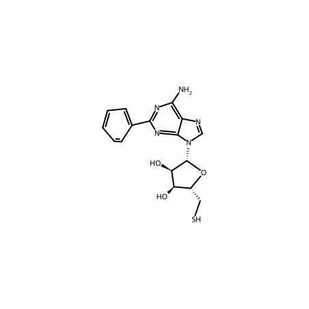 Nc1nc(-c2ccccc2)nc2c1ncn2[C@@H]1O[C@H](CS)[C@@H](O)[C@H]1O